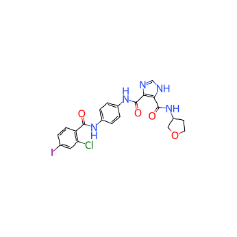 O=C(Nc1ccc(NC(=O)c2nc[nH]c2C(=O)NC2CCOC2)cc1)c1ccc(I)cc1Cl